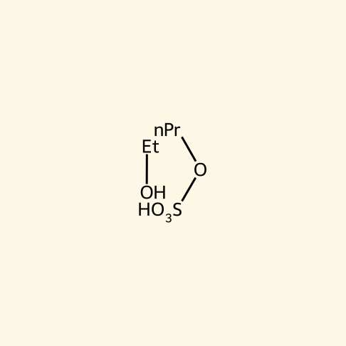 CCCOS(=O)(=O)O.CCO